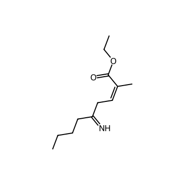 CCCCC(=N)CC=C(C)C(=O)OCC